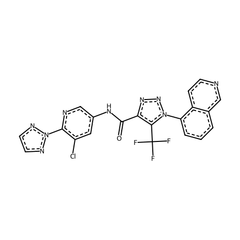 O=C(Nc1cnc(-n2nccn2)c(Cl)c1)c1nnn(-c2cccc3cnccc23)c1C(F)(F)F